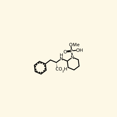 COP(=O)(O)N1CCCCC1N[C@@H](Cc1ccccc1)C(=O)O